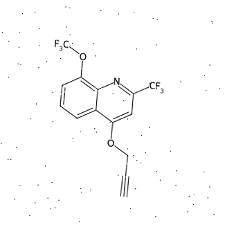 C#CCOc1cc(C(F)(F)F)nc2c(OC(F)(F)F)cccc12